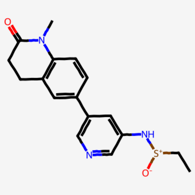 CC[S+]([O-])Nc1cncc(-c2ccc3c(c2)CCC(=O)N3C)c1